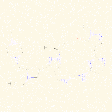 CCn1cc(-c2nn3c4cc(ncc24)Nc2ccnc(n2)-c2cnn(C)c2OCC[C@@H]3C)cc1CN1CCN(C)CC1